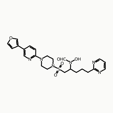 O=CN(O)C(CCCc1ncccn1)CS(=O)(=O)N1CCN(c2ccc(-c3ccoc3)cn2)CC1